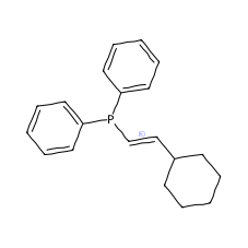 C(=C\P(c1ccccc1)c1ccccc1)/C1CCCCC1